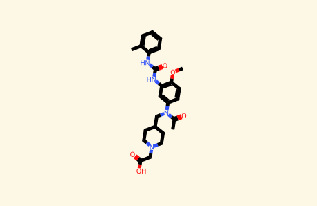 COc1ccc(N(CC2CCN(CC(=O)O)CC2)C(C)=O)cc1NC(=O)Nc1ccccc1C